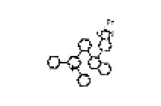 CC(C)c1nc2ccc(-c3c(-c4ccccc4-c4cc(-c5ccccc5)nc(-c5ccccc5)c4)ccc4ccccc34)cc2o1